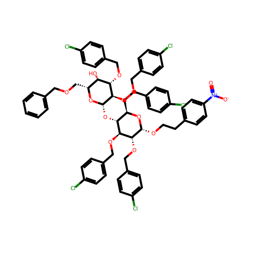 O=[N+]([O-])c1ccc(CCO[C@H]2O[C@H](COCc3ccc(Cl)cc3)[C@@H](O[C@@H]3O[C@H](COCc4ccccc4)[C@H](O)[C@H](OCc4ccc(Cl)cc4)[C@H]3OCc3ccc(Cl)cc3)[C@H](OCc3ccc(Cl)cc3)[C@H]2OCc2ccc(Cl)cc2)cc1